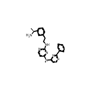 C[C@H](N)c1cccc(CCNc2nccc(N(C)c3ccnc(-c4ccccc4)n3)n2)c1